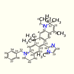 CCN1c2cc3c(cc2C(C)=CC1(C)C)C(c1nccn1C)=c1cc2c(cc1C3(C)C)=[N+](Cc1ccccc1)CCC2